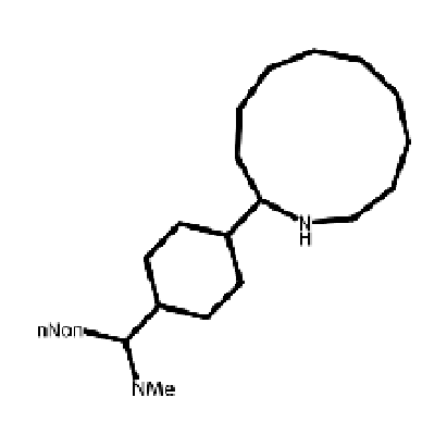 CCCCCCCCCC(NC)C1CCC(C2CCCCCCCCCN2)CC1